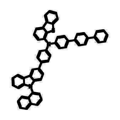 c1ccc(-c2ccc(-c3ccc(N(c4ccc(-c5ccc6c(c5)c5ccccc5n6-c5cccc6ccccc56)cc4)c4cccc5c4sc4ccccc45)cc3)cc2)cc1